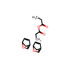 C1=CC2CC1=CO2.C1=CC2CC1=CO2.CCC(=O)OC(=O)CC